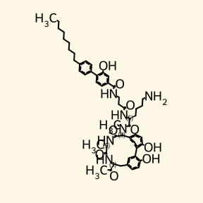 CCCCCCCCCc1ccc(-c2ccc(C(=O)NCCC(=O)N[C@@H](CCCCN)C(=O)N(C)[C@@H]3C(=O)N[C@@H](C)C(=O)N[C@H](C(C)=O)Cc4ccc(O)c(c4)-c4cc3ccc4O)cc2O)cc1